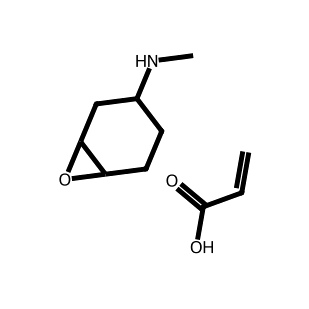 C=CC(=O)O.CNC1CCC2OC2C1